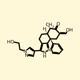 C[C@@H]1C(=O)/C(=C\O)C[C@]2(c3ccccc3)c3n[nH]c(-c4cnn(CCO)c4)c3CC[C@@H]12